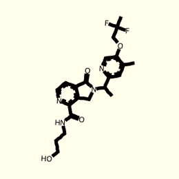 Cc1cc(C(C)N2Cc3c(ccnc3C(=O)NCCCO)C2=O)ncc1OCC(C)(F)F